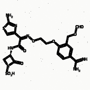 N=C(N)c1ccc(OCCO/N=C(\C(=O)N[C@H]2CN(S(=O)(=O)O)C2=O)c2csc(N)n2)c(COC=O)c1